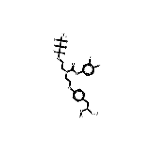 CCOC(Cc1ccc(OCCN(CCOC(F)(F)C(F)(F)C(F)(F)C(F)(F)F)C(=O)Oc2ccc(F)c(F)c2)cc1)C(=O)O